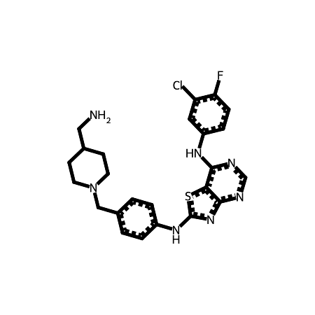 NCC1CCN(Cc2ccc(Nc3nc4ncnc(Nc5ccc(F)c(Cl)c5)c4s3)cc2)CC1